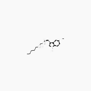 CCCCCNCN/N=C\c1c[nH]c2ccc(OC)cc12